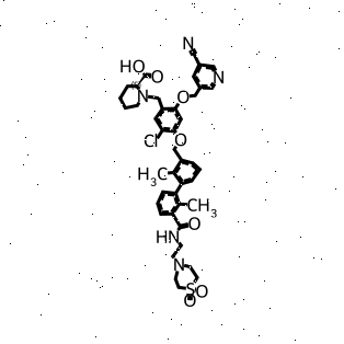 Cc1c(COc2cc(OCc3cncc(C#N)c3)c(CN3CCCC[C@H]3C(=O)O)cc2Cl)cccc1-c1cccc(C(=O)NCCN2CCS(=O)(=O)CC2)c1C